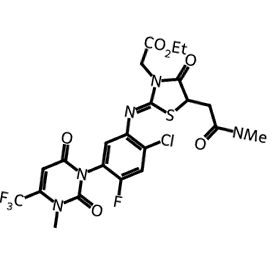 CCOC(=O)CN1C(=O)C(CC(=O)NC)S/C1=N\c1cc(-n2c(=O)cc(C(F)(F)F)n(C)c2=O)c(F)cc1Cl